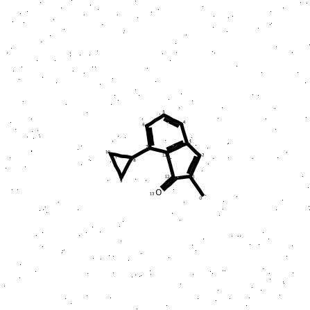 CC1=Cc2cccc(C3CC3)c2C1=O